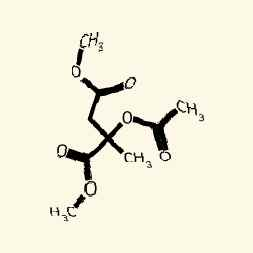 COC(=O)CC(C)(OC(C)=O)C(=O)OC